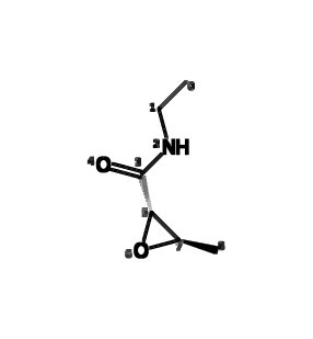 CCNC(=O)[C@H]1O[C@@H]1C